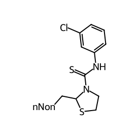 CCCCCCCCCCC1SCCN1C(=S)Nc1cccc(Cl)c1